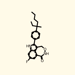 CCCCC(C)(CC)c1ccc(-c2[nH]c3cc(F)cc4c3c2CONC4=O)cc1